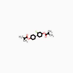 C=C(C)C(=O)OC1CCC([C@H]2CCC(OC(=O)C(=C)C)CC2F)CC1